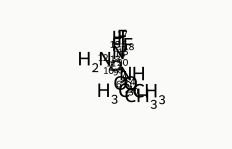 CC(C)(C)OC(=O)Nc1ccc(N)c(NCC(F)(F)F)c1